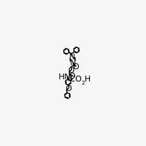 O=C(COCC(=O)N1CCN(C(c2ccccc2)c2ccccc2)CC1)Nc1ccc(OCc2ccccc2)cc1C(=O)O